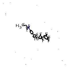 CCC/C(F)=C(\F)c1ccc(-c2ccc(C(F)(F)Oc3cc(F)c(-c4cc(F)c(F)c(F)c4)c(F)c3)c(F)c2)cc1